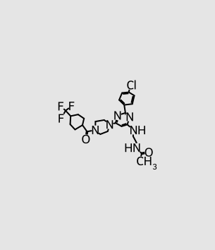 CC(=O)NCCNc1cc(N2CCN(C(=O)C3CCC(C(F)(F)F)CC3)CC2)nc(-c2ccc(Cl)cc2)n1